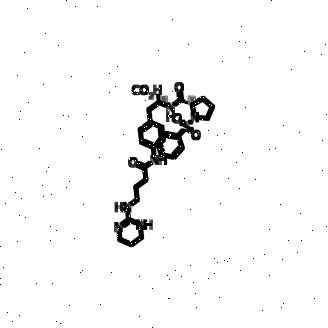 O=C(CCCNC1=NCCCN1)Nc1ccc(C[C@H](NC(=O)[C@@H]2CCCN2S(=O)(=O)c2ccccc2)C(=O)O)cc1